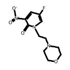 O=c1c([N+](=O)[O-])cc(F)cn1CCN1CCOCC1